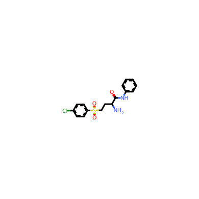 NC(CCS(=O)(=O)c1ccc(Cl)cc1)C(=O)Nc1ccccc1